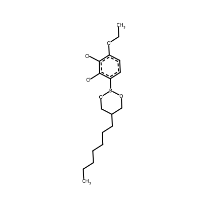 CCCCCCCC1COB(c2ccc(OCC)c(Cl)c2Cl)OC1